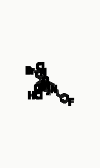 C=CC(c1cnc(Cl)c(Br)c1)S(=O)(=O)N1CCN(CCc2ccc(F)cc2)CC1.Cl